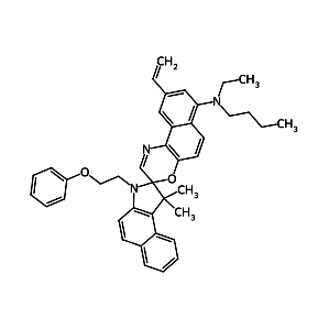 C=Cc1cc(N(CC)CCCC)c2ccc3c(c2c1)N=CC1(O3)N(CCOc2ccccc2)c2ccc3ccccc3c2C1(C)C